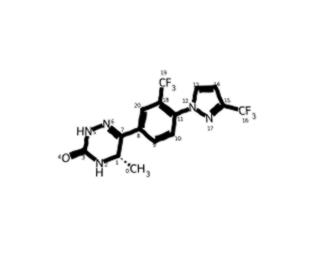 C[C@@H]1NC(=O)NN=C1c1ccc(-n2ccc(C(F)(F)F)n2)c(C(F)(F)F)c1